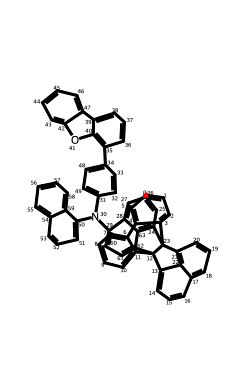 c1ccc2c(c1)-c1ccccc1C13c4cccc5cccc(c45)C21c1cccc2c(N(c4ccc(-c5cccc6c5oc5ccccc56)cc4)c4cccc5ccccc45)ccc3c12